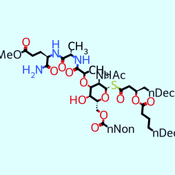 CCCCCCCCCCCCCC(=O)O[C@H](CCCCCCCCCCC)CC(=O)S[C@@H]1O[C@H](COC(=O)CCCCCCCCC)[C@@H](O)[C@@H](OC(C)C(=O)N[C@@H](C)C(=O)N[C@H](CCC(=O)OC)C(N)=O)[C@H]1NC(C)=O